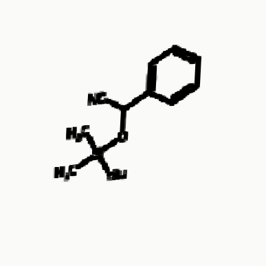 CC(C)(C)[Si](C)(C)OC(C#N)c1ccccc1